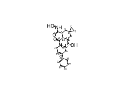 O=C(NO)C1CC2(CC2)CN(C(=O)O)C1C(=O)N1CC=C(c2ccccc2)CC1